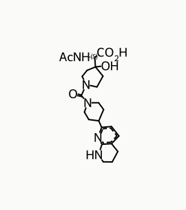 CC(=O)N[C@H](C(=O)O)C1(O)CCN(C(=O)N2CCC(c3ccc4c(n3)NCCC4)CC2)CC1